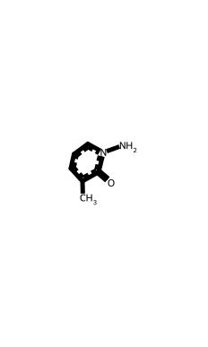 Cc1cccn(N)c1=O